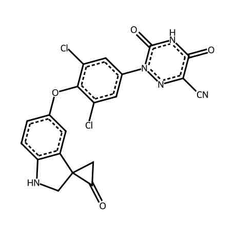 N#Cc1nn(-c2cc(Cl)c(Oc3ccc4c(c3)C3(CN4)CC3=O)c(Cl)c2)c(=O)[nH]c1=O